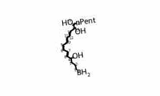 BCCCC(O)/C=C/C=C\C=C\C=C\C(O)C(O)CCCCC